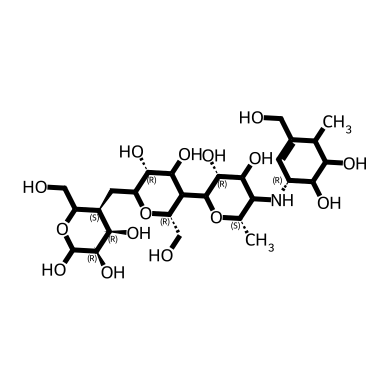 CC1C(CO)=C[C@@H](NC2C(O)[C@@H](O)C(C3C(O)[C@@H](O)C(C[C@@H]4C(CO)OC(O)[C@H](O)[C@@H]4O)O[C@H]3CO)O[C@H]2C)C(O)C1O